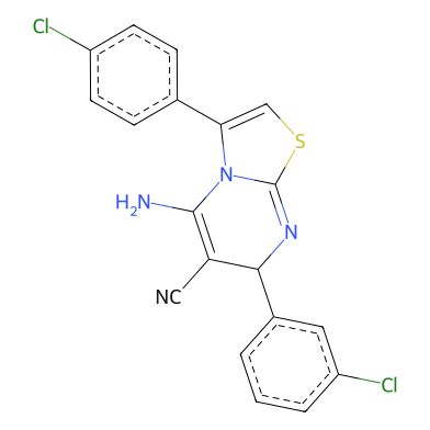 N#CC1=C(N)N2C(c3ccc(Cl)cc3)=CSC2=NC1c1cccc(Cl)c1